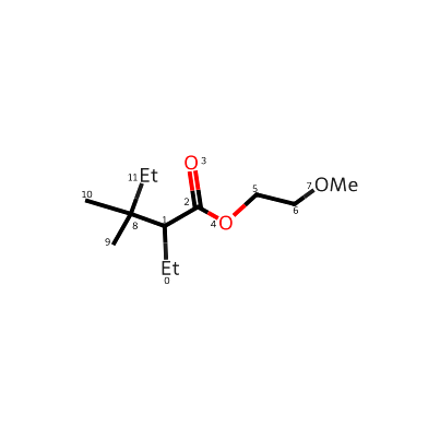 CCC(C(=O)OCCOC)C(C)(C)CC